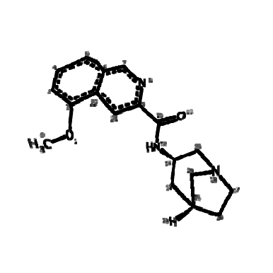 COc1cccc2cnc(C(=O)N[C@@H]3C[C@H]4CCN(C4)C3)cc12